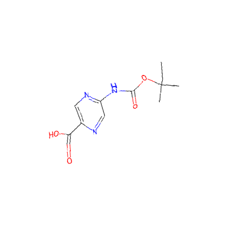 CC(C)(C)OC(=O)Nc1cnc(C(=O)O)cn1